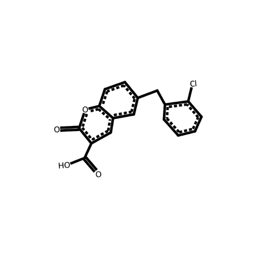 O=C(O)c1cc2cc(Cc3ccccc3Cl)ccc2oc1=O